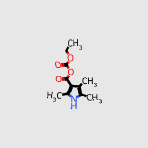 CCOC(=O)OC(=O)c1c(C)[nH]c(C)c1C